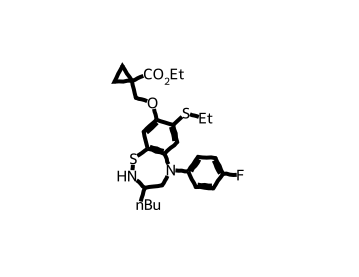 CCCCC1CN(c2ccc(F)cc2)c2cc(SCC)c(OCC3(C(=O)OCC)CC3)cc2SN1